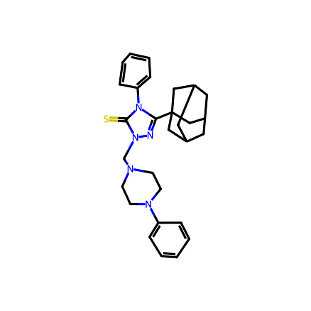 S=c1n(CN2CCN(c3ccccc3)CC2)nc(C23CC4CC(CC(C4)C2)C3)n1-c1ccccc1